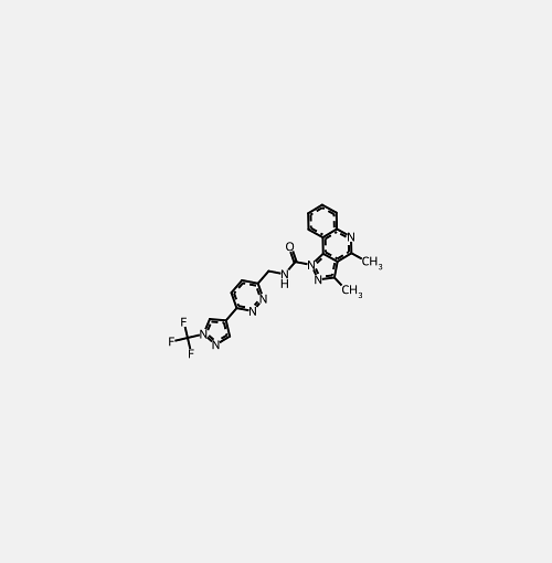 Cc1nc2ccccc2c2c1c(C)nn2C(=O)NCc1ccc(-c2cnn(C(F)(F)F)c2)nn1